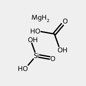 O=C(O)O.O=[Si](O)O.[MgH2]